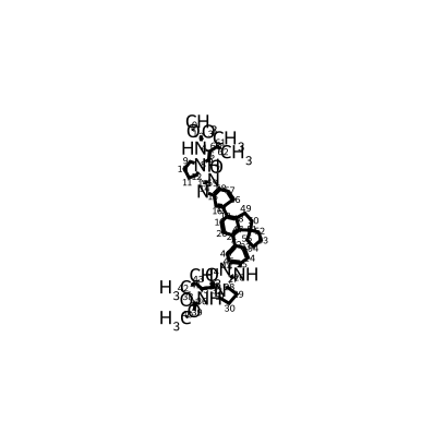 COC(=O)N[C@H](C(=O)N1CCC[C@H]1c1nc2cc(-c3ccc(-c4ccc5[nH]c([C@@H]6CCCN6C(=O)[C@@H](NC(=O)OC)C(C)C)nc5c4)c4c3CCC43CCCC3)ccc2[nH]1)C(C)C